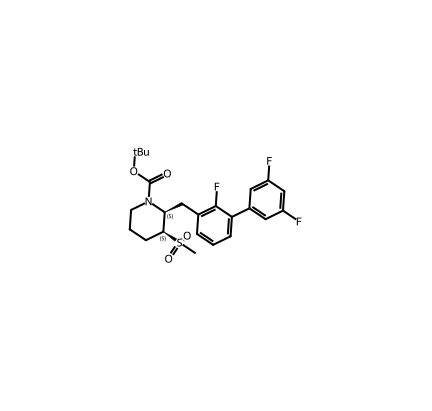 CC(C)(C)OC(=O)N1CCC[C@H](S(C)(=O)=O)[C@@H]1Cc1cccc(-c2cc(F)cc(F)c2)c1F